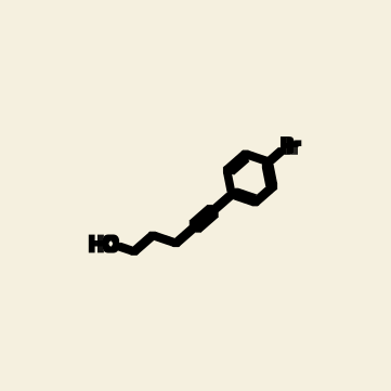 OCCCC#Cc1ccc(Br)cc1